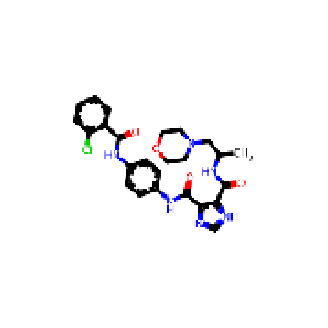 CC(CN1CCOCC1)NC(=O)c1[nH]cnc1C(=O)Nc1ccc(NC(=O)c2ccccc2Cl)cc1